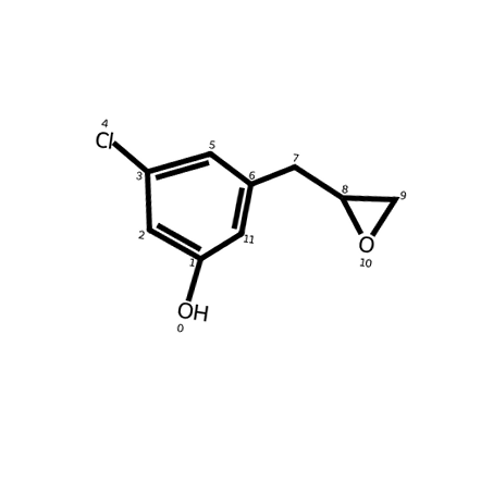 Oc1cc(Cl)cc(CC2CO2)c1